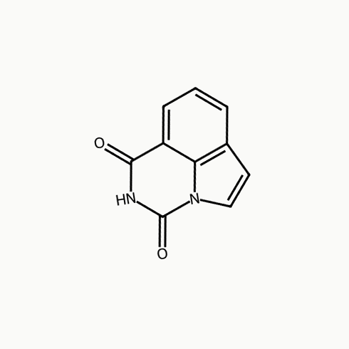 O=c1[nH]c(=O)n2ccc3cccc1c32